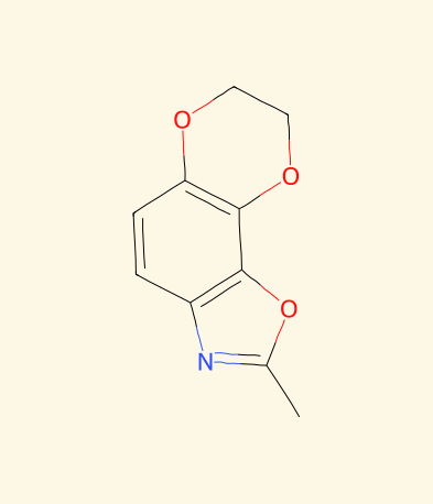 Cc1nc2ccc3c(c2o1)OCCO3